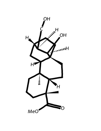 COC(=O)[C@]1(C)CCC[C@@]2(C)[C@@H]3C[C@@H]4CC[C@@]3(CC[C@@H]21)[C@H](O)[C@@H]4CO